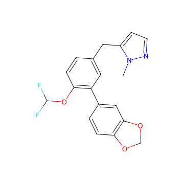 Cn1nccc1Cc1ccc(OC(F)F)c(-c2ccc3c(c2)OCO3)c1